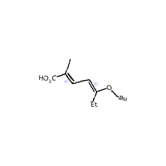 CC/C(=C\C=C(/C)C(=O)O)OC(C)CC